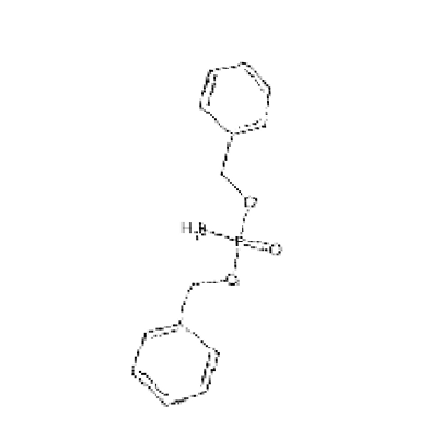 BP(=O)(OCc1ccccc1)OCc1ccccc1